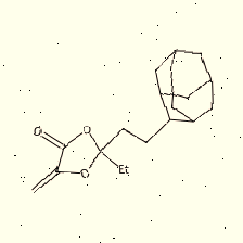 C=C1OC(CC)(CCC2C3CC4CC(C3)CC2C4)OC1=O